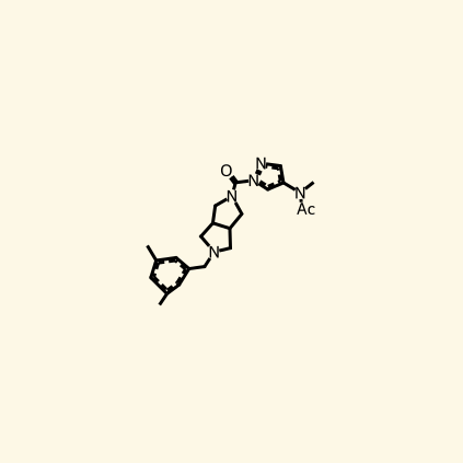 CC(=O)N(C)c1cnn(C(=O)N2CC3CN(Cc4cc(C)cc(C)c4)CC3C2)c1